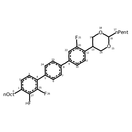 CCCCCCCCc1ccc(-c2ccc(-c3ccc(C4COC(CCCCC)OC4)c(F)c3)cc2)c(F)c1F